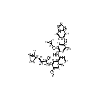 COc1cc2ncnc(Nc3cc(C)c(Oc4ccn5ncnc5c4)cc3OC3CC3)c2cc1NC(=O)/C(F)=C/[C@H]1CCCN1C